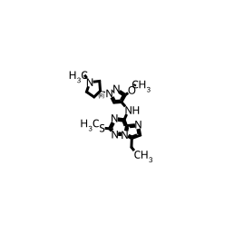 CCc1cnc2c(Nc3cn([C@@H]4CCN(C)C4)nc3OC)nc(SC)nn12